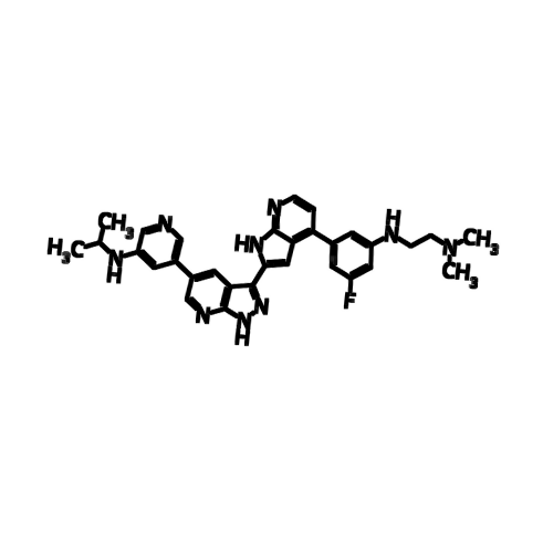 CC(C)Nc1cncc(-c2cnc3[nH]nc(-c4cc5c(-c6cc(F)cc(NCCN(C)C)c6)ccnc5[nH]4)c3c2)c1